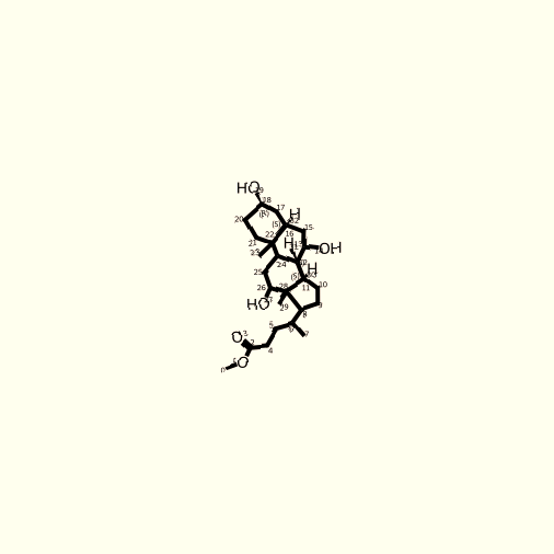 COC(=O)CCC(C)C1CC[C@H]2[C@H]3C(O)C[C@@H]4C[C@H](O)CCC4(C)C3CC(O)C12C